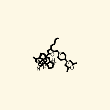 CCCCC1CC(C23C[C@@H]4[C@H](C)CC[C@H]4C4(C#N)CC2C=C(C(C)C)C34C(=O)O)OC1CN1CCC(N2CC(C)OC(C)C2)CC1